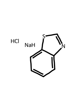 Cl.[NaH].c1ccc2scnc2c1